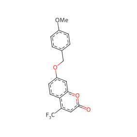 COc1ccc(COc2ccc3c(C(F)(F)F)cc(=O)oc3c2)cc1